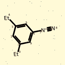 CCc1cc(CC)cc([N+]#N)c1